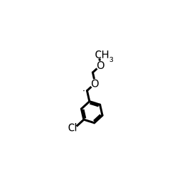 COCO[CH]c1cccc(Cl)c1